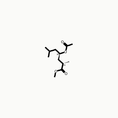 COC(=O)[C@@H](C)C[C@@H](CC(C)C)OC(C)=O